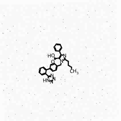 CCCCc1nc(-c2ccccc2)c(C(=O)O)n1Cc1ccc(-c2ccccc2-c2nnn[nH]2)cc1